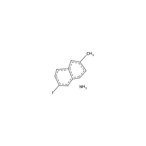 Cc1ccc2cc(I)ccc2c1.N